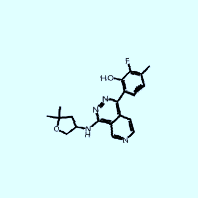 Cc1ccc(-c2nnc(NC3COC(C)(C)C3)c3cnccc23)c(O)c1F